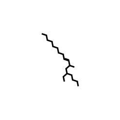 CCCCCCCCC=CC(C)CC(CC)CCCC